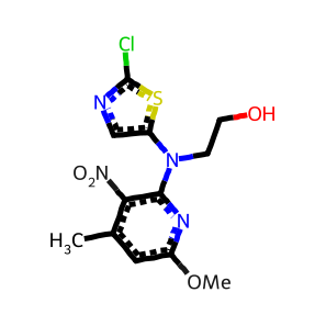 COc1cc(C)c([N+](=O)[O-])c(N(CCO)c2cnc(Cl)s2)n1